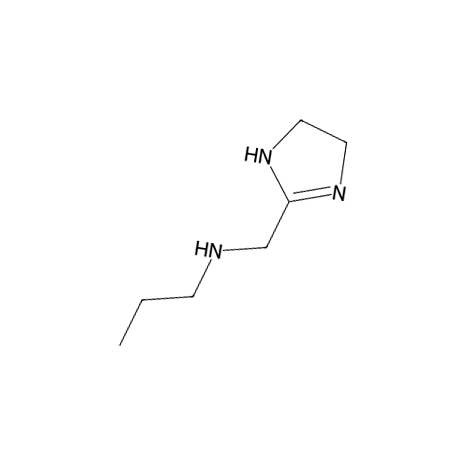 CCCNCC1=NCCN1